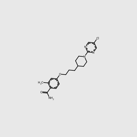 Cc1cc(OCCCC2CCN(c3ncc(Cl)cn3)CC2)ccc1C(N)=O